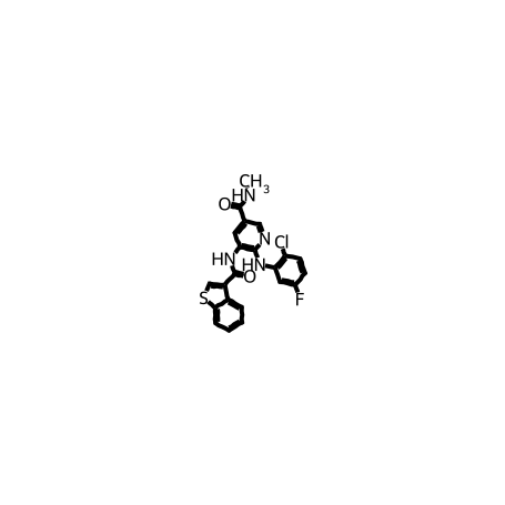 CNC(=O)c1cnc(Nc2cc(F)ccc2Cl)c(NC(=O)c2csc3ccccc23)c1